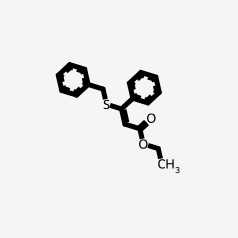 CCOC(=O)/C=C(/SCc1ccccc1)c1ccccc1